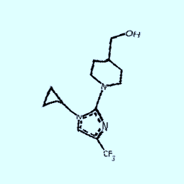 OCC1CCN(c2nc(C(F)(F)F)cn2C2CC2)CC1